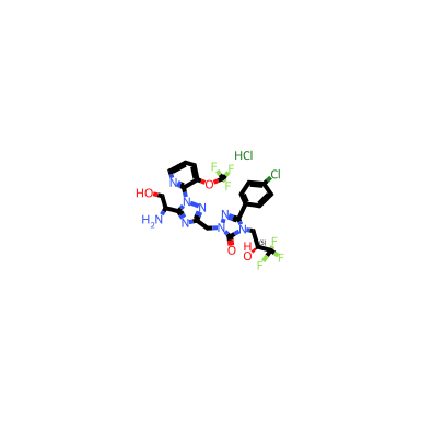 Cl.NC(CO)c1nc(Cn2nc(-c3ccc(Cl)cc3)n(C[C@H](O)C(F)(F)F)c2=O)nn1-c1ncccc1OC(F)(F)F